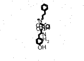 C[C@@H](NC(=O)[C@@H](N)Cc1ccc(O)cc1)C(=O)N(C)CCCc1ccccc1.Cl.O